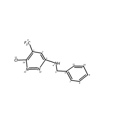 FC(F)(F)c1cc(NCc2ccccc2)nnc1Cl